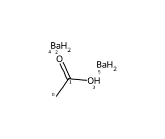 CC(=O)O.[BaH2].[BaH2]